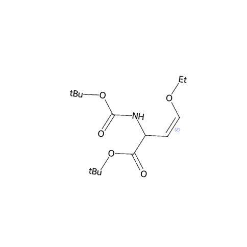 CCO/C=C\C(NC(=O)OC(C)(C)C)C(=O)OC(C)(C)C